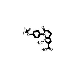 Cn1c(C(=O)O)cc2ccc(=O)n(-c3ccc(OC(F)(F)F)cc3)c21